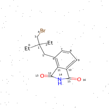 CCC(CC)(CBr)Cc1cccc2c1C(=O)NC2=O